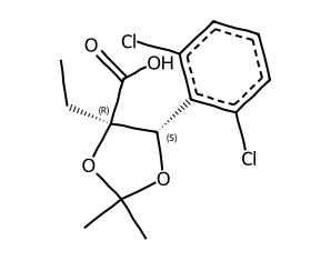 CC[C@@]1(C(=O)O)OC(C)(C)O[C@H]1c1c(Cl)cccc1Cl